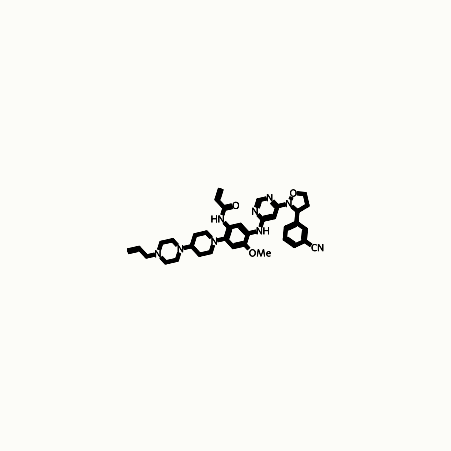 C=CCN1CCN(C2CCN(c3cc(OC)c(Nc4cc(N5OCCC5c5cccc(C#N)c5)ncn4)cc3NC(=O)C=C)CC2)CC1